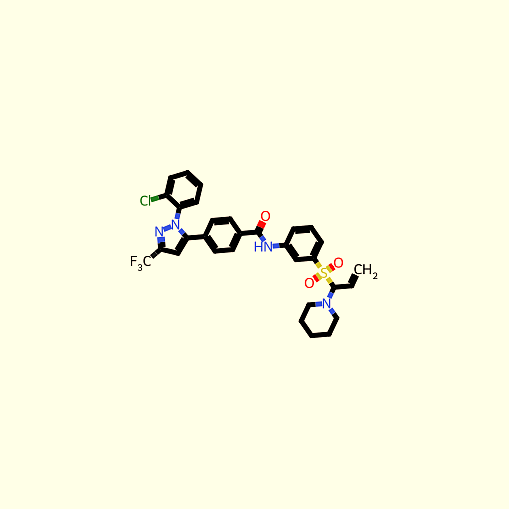 C=CC(N1CCCCC1)S(=O)(=O)c1cccc(NC(=O)c2ccc(-c3cc(C(F)(F)F)nn3-c3ccccc3Cl)cc2)c1